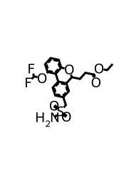 CCOC(=O)CCC1Oc2cccc(OC(F)F)c2-c2ccc(CS(N)(=O)=O)cc21